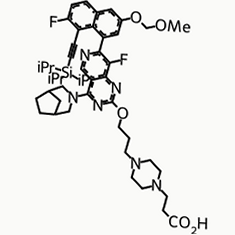 COCOc1cc(-c2ncc3c(N4CC5CCC(C5)C4)nc(OCCCN4CCN(CCC(=O)O)CC4)nc3c2F)c2c(C#C[Si](C(C)C)(C(C)C)C(C)C)c(F)ccc2c1